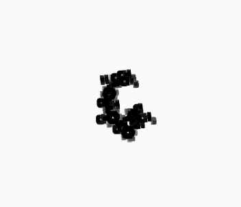 CN1C2=C(CN(C(=O)c3ccc(CNC(=O)N4CCN(CCC(C)(C)C)CC4)c(Cl)c3)c3ccccc3N2)CN1Cl